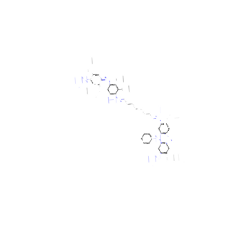 C=C1C=C(N)C(C)=C/C1=N/c1ccc(NCCCCCCCCNc2cc3c(cc2C)nc2cc(C)c(N)cc2[n+]3-c2ccccc2)c(C)c1C